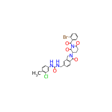 Cc1ccc(NC(=O)NCc2ccc3c(c2)CN(C2CCC(=O)N(C(=O)c4ccccc4Br)C2=O)C3=O)cc1Cl